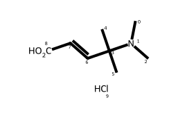 CN(C)C(C)(C)C=CC(=O)O.Cl